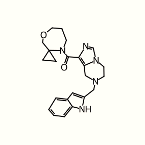 O=C(c1ncn2c1CN(Cc1cc3ccccc3[nH]1)CC2)N1CCCOCC12CC2